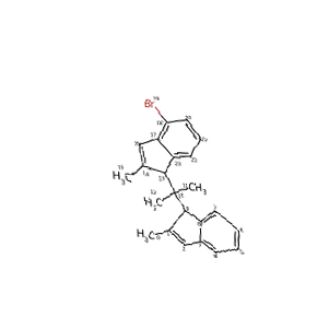 CC1=Cc2ccccc2C1C(C)(C)C1C(C)=Cc2c(Br)cccc21